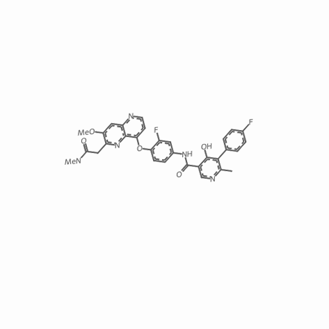 CNC(=O)Cc1nc2c(Oc3ccc(NC(=O)c4cnc(C)c(-c5ccc(F)cc5)c4O)cc3F)ccnc2cc1OC